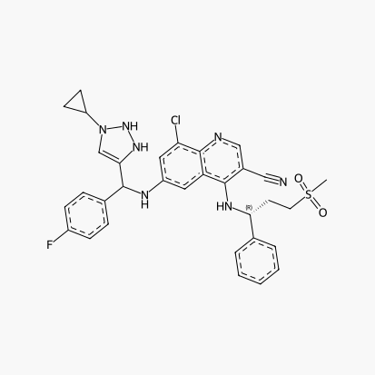 CS(=O)(=O)CC[C@@H](Nc1c(C#N)cnc2c(Cl)cc(NC(C3=CN(C4CC4)NN3)c3ccc(F)cc3)cc12)c1ccccc1